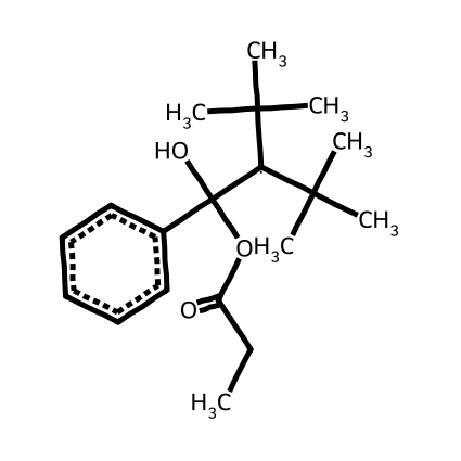 CCC(=O)OC(O)([C](C(C)(C)C)C(C)(C)C)c1ccccc1